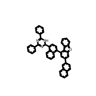 c1ccc(C2=NC(c3ccc(-c4cc(-c5ccc6ccccc6c5)cc5oc6ccccc6c45)c4ccccc34)NC(c3ccccc3)=N2)cc1